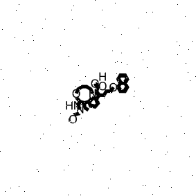 COCCN1NC2=C(c3cccc4c(CCCOc5cccc6ccccc56)c(C(=O)O)n(c34)CCCCOC2)C1C